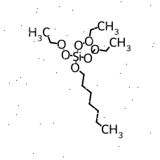 CCCCCCCO[Si](OOCC)(OOCC)OOCC